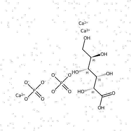 O=C(O)[C@H](O)[C@@H](O)[C@H](O)[C@H](O)CO.O=P([O-])([O-])[O-].O=P([O-])([O-])[O-].[Ca+2].[Ca+2].[Ca+2]